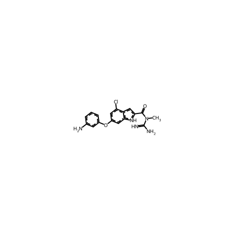 CN(C(=N)N)C(=O)c1cc2c(Cl)cc(Oc3cccc(N)c3)cc2[nH]1